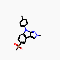 Cc1ccc(-n2c3ccc(S(C)(=O)=O)cc3c3cn(C)nc32)cc1